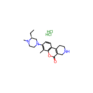 CC[C@H]1CN(c2ccc3c4c(c(=O)oc3c2C)CNCC4)CCN1C.Cl.Cl